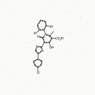 CCOC(=O)c1c(O)c(-c2nc(-c3ccc(Cl)cc3)cs2)c(=O)n(-c2c(CC)cccc2CC)c1C